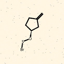 C=C1CC[C@H](OSBr)C1